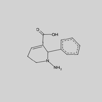 NN1CCC=C(C(=O)O)C1c1ccccc1